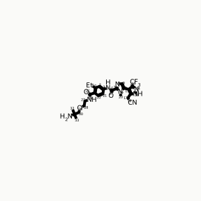 CCc1cc(NC(=O)c2ncc(-c3c(C(F)(F)F)n[nH]c3CC#N)n2C)ccc1C(=O)NCCOCC(C)(C)N